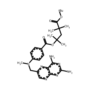 CN(Cc1cnc2nc(N)nc(N)c2n1)c1ccc(C(=O)OC(C)(C)CC(C)(C)C(=O)OC(C)(C)C)cc1